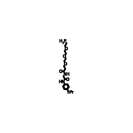 CCCc1ccc(NC(=O)CNC(=O)CCOCCOCCOCCP)cc1